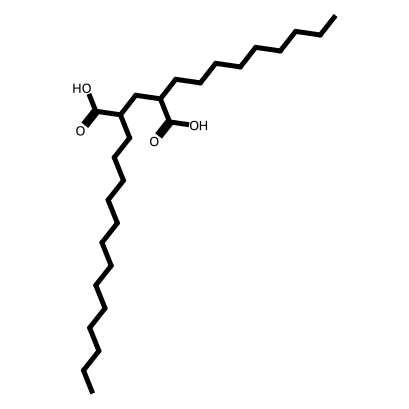 CCCCCCCCCCCCCC(CC(CCCCCCCCC)C(=O)O)C(=O)O